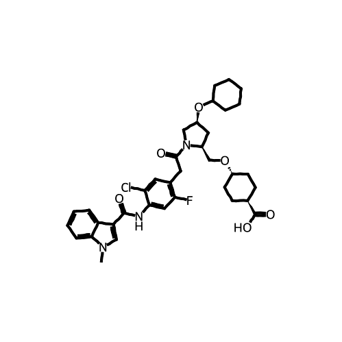 Cn1cc(C(=O)Nc2cc(F)c(CC(=O)N3C[C@@H](OC4CCCCC4)C[C@H]3CO[C@H]3CC[C@H](C(=O)O)CC3)cc2Cl)c2ccccc21